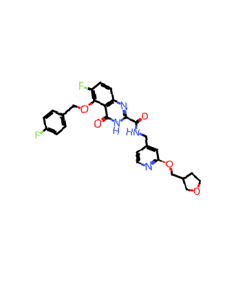 O=C(NCc1ccnc(OCC2CCOC2)c1)c1nc2ccc(F)c(OCc3ccc(F)cc3)c2c(=O)[nH]1